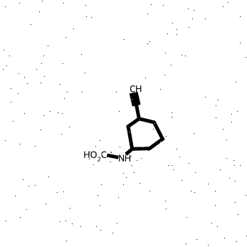 C#CC1CCCC(NC(=O)O)C1